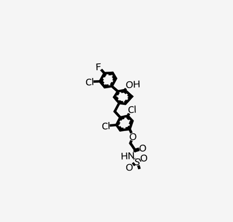 CS(=O)(=O)NC(=O)COc1cc(Cl)c(Cc2ccc(O)c(-c3ccc(F)c(Cl)c3)c2)c(Cl)c1